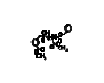 COC(=O)c1cccc(CP(=O)(O)CC[C@H](NC(=O)OCc2ccccc2)C(=O)OC)c1